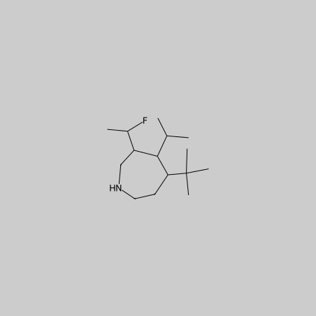 CC(C)C1C(C(C)F)CNCCC1C(C)(C)C